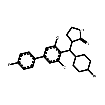 O=C1NCCC1C(c1c(Cl)cc(-c2ccc(F)cc2)cc1Cl)C1CCC(Br)CC1